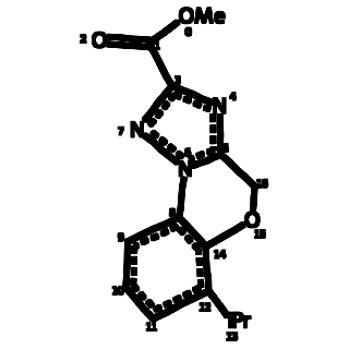 COC(=O)c1nc2n(n1)-c1cccc(C(C)C)c1OC2